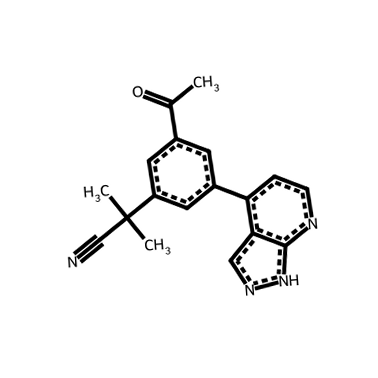 CC(=O)c1cc(-c2ccnc3[nH]ncc23)cc(C(C)(C)C#N)c1